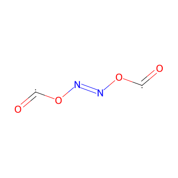 O=[C]ON=NO[C]=O